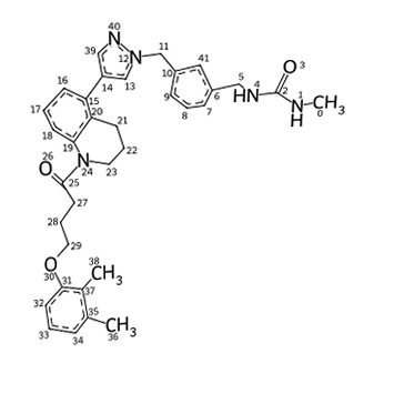 CNC(=O)NCc1cccc(Cn2cc(-c3cccc4c3CCCN4C(=O)CCCOc3cccc(C)c3C)cn2)c1